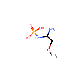 COCC(N)NP(=O)(O)O